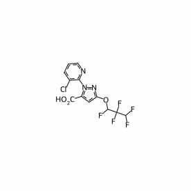 O=C(O)c1cc(OC(F)C(F)(F)C(F)F)nn1-c1ncccc1Cl